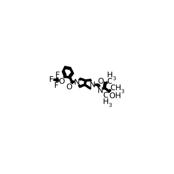 Cc1oc(N2CC3CN(C(=O)c4ccccc4OC(F)(F)F)CC3C2)nc1C(C)(C)O